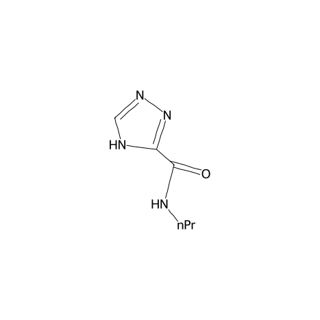 CCCNC(=O)c1nnc[nH]1